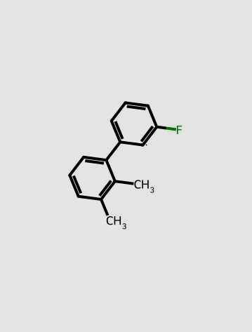 Cc1cccc(-c2[c]c(F)ccc2)c1C